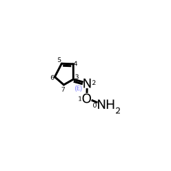 NO/N=C1/C=CCC1